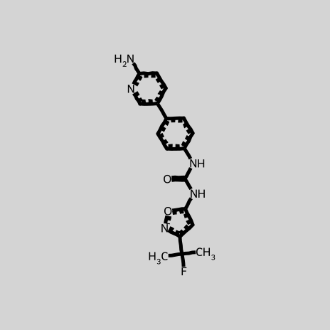 CC(C)(F)c1cc(NC(=O)Nc2ccc(-c3ccc(N)nc3)cc2)on1